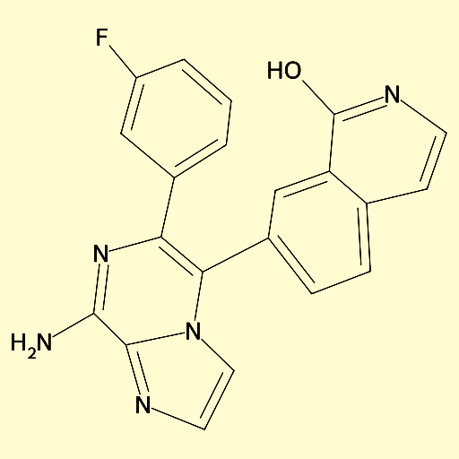 Nc1nc(-c2cccc(F)c2)c(-c2ccc3ccnc(O)c3c2)n2ccnc12